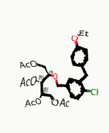 CCOc1ccc(Cc2cc(CO[C@H](COC(C)=O)[C@@H](OC(C)=O)[C@@H](COC(C)=O)OC(C)=O)ccc2Cl)cc1